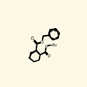 CCCCOC(=O)C1CCCCC1C(=O)OCc1ccccc1